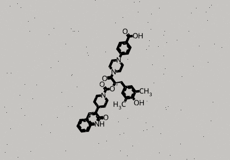 Cc1cc(C[C@@H](OC(=O)N2CCC(c3cc4ccccc4[nH]c3=O)CC2)C(=O)N2CCN(c3ccc(C(=O)O)cc3)CC2)cc(C)c1O